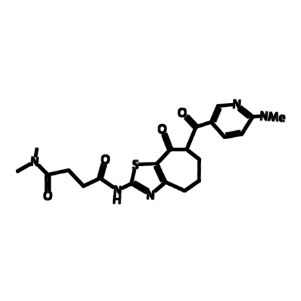 CNc1ccc(C(=O)C2CCCc3nc(NC(=O)CCC(=O)N(C)C)sc3C2=O)cn1